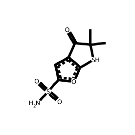 CC1(C)[SH]c2oc(S(N)(=O)=O)cc2C1=O